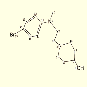 CN(CCN1CCC(O)CC1)c1ccc(Br)cc1